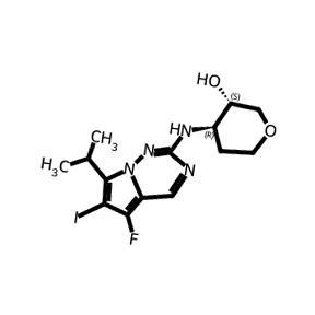 CC(C)c1c(I)c(F)c2cnc(N[C@@H]3CCOC[C@H]3O)nn12